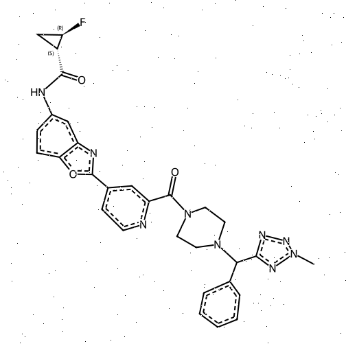 Cn1nnc(C(c2ccccc2)N2CCN(C(=O)c3cc(-c4nc5cc(NC(=O)[C@@H]6C[C@H]6F)ccc5o4)ccn3)CC2)n1